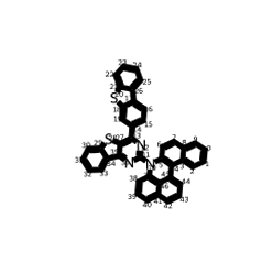 c1ccc2c3c(ccc2c1)N(c1nc(-c2ccc4c(c2)sc2ccccc24)c2sc4ccccc4c2n1)c1cccc2cccc-3c12